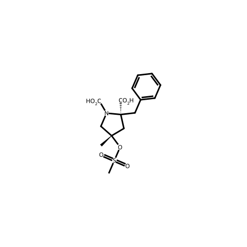 C[C@@]1(OS(C)(=O)=O)CN(C(=O)O)[C@](Cc2ccccc2)(C(=O)O)C1